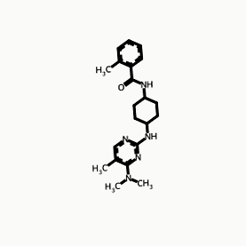 Cc1ccccc1C(=O)NC1CCC(Nc2ncc(C)c(N(C)C)n2)CC1